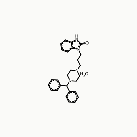 O.O=c1[nH]c2ccccc2n1CCCN1CCN(C(c2ccccc2)c2ccccc2)CC1